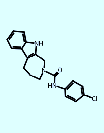 O=C(Nc1ccc(Cl)cc1)N1CCCc2c([nH]c3ccccc23)C1